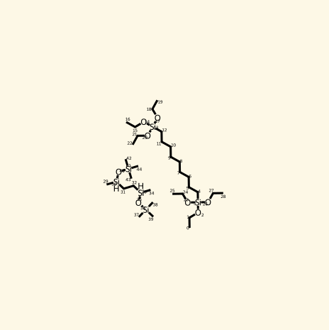 CCO[Si](CCCCCCCCC[Si](OCC)(OCC)OCC)(OCC)OCC.C[SiH](CC[SiH](C)O[Si](C)(C)C)O[Si](C)(C)C